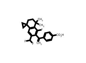 C=C(c1ccc(C(=O)O)cc1)c1c(C(F)F)cc2c(c1F)C(C)(C)CCC21CC1